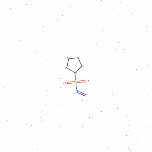 C=NS(=O)(=O)C1CCCC1